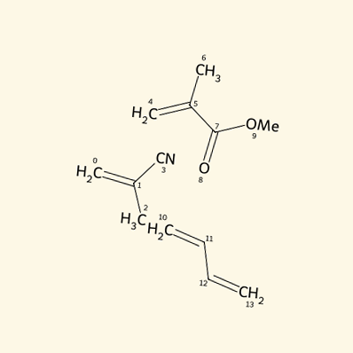 C=C(C)C#N.C=C(C)C(=O)OC.C=CC=C